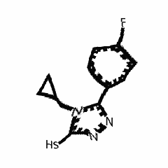 Fc1ccc(-c2nnc(S)n2C2CC2)cc1